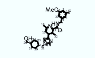 COc1cc(F)cc(CNC(=O)C2=NC(C)=CC(c3nnn(C[C@H]4CC[C@H](CO)CC4)n3)C2C)c1